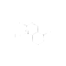 O=C1CCCc2c1ccc(=O)n2C(F)(F)F